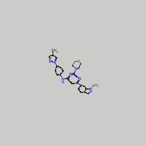 Cc1cnn(-c2ccc(Nc3cc(-c4ccc5cnn(C)c5c4)nc(N4CCOCC4)n3)cc2)c1